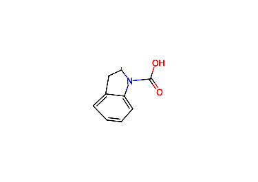 O=C(O)N1[CH]Cc2ccccc21